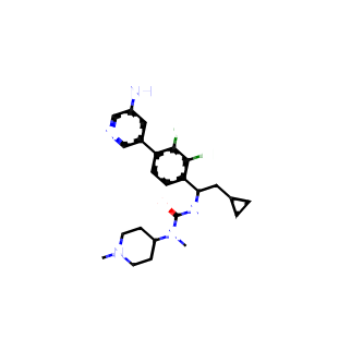 CN1CCC(N(C)C(=O)NC(CC2CC2)c2ccc(-c3cncc(N)c3)c(Cl)c2Cl)CC1